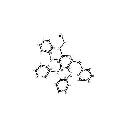 OCCc1nc(Oc2ccccc2)c(Oc2ccccc2)c(Oc2ccccc2)c1Oc1ccccc1